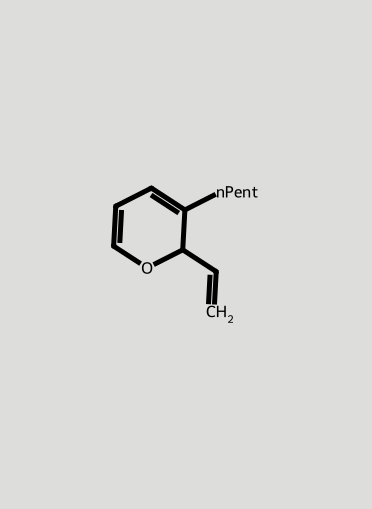 C=CC1OC=CC=C1CCCCC